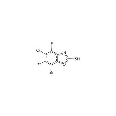 Fc1c(Cl)c(F)c2nc(S)oc2c1Br